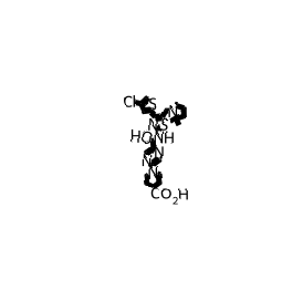 CC1(C)CCCN1Cc1sc(NC(O)c2cnc(N3CCC(C(=O)O)CC3)cn2)nc1-c1cc(Cl)cs1